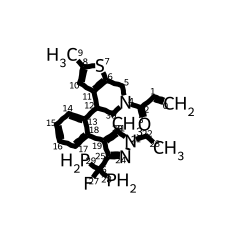 C=CC(=O)N1Cc2sc(C)cc2C(c2ccccc2-c2cn(CC)nc2C(F)(P)P)C1C